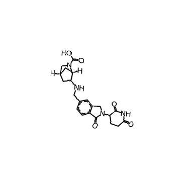 O=C1CCC(N2Cc3cc(CN[C@H]4C[C@H]5C[C@@H]4N(C(=O)O)C5)ccc3C2=O)C(=O)N1